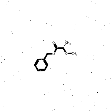 CO[C@@H](C)C(=O)OCc1ccccc1